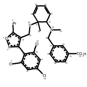 CC(C)c1onc(-c2c(Cl)cc(Cl)cc2Cl)c1COC1(C)C=CC=CC1N(C)Cc1cccc(C(=O)O)c1